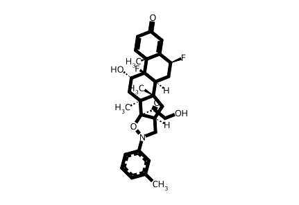 Cc1cccc(N2C[C@@H]3C[C@@]4(C)[C@@H]5C[C@H](F)C6=CC(=O)C=C[C@]6(C)[C@@]5(F)[C@@H](O)C[C@]4(C)[C@]3(C(=O)CO)O2)c1